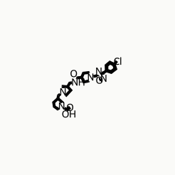 O=C(NCC1CCN(CC2CCCN(C(=O)O)C2)C1)C1CCN(c2nc(-c3ccc(Cl)cc3)no2)CC1